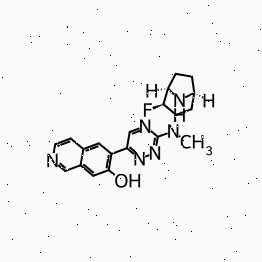 CN(c1ncc(-c2cc3ccncc3cc2O)nn1)[C@H]1C[C@@H]2CC[C@@H](N2)[C@@H]1F